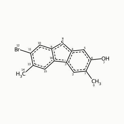 Cc1cc2c(cc1O)sc1cc(Br)c(C)cc12